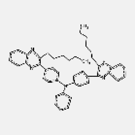 CCCCCCc1nc2ccccc2nc1-c1ccc(N(c2ccccc2)c2ccc(-c3nc4ccccc4nc3CCCCCC)cc2)cc1